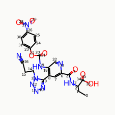 CCC(NC(=O)c1cc(-c2nnnn2CCC#N)c(NC(=O)Oc2ccc([N+](=O)[O-])cc2)cn1)C(=O)O